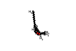 CCCCCC/C=C/CCCCCCCC(=O)O[C@H]1CC[C@@]2(C)C(=CC[C@H]3[C@@H]4CC[C@H]([C@H](C)CCCC(C)C)[C@@]4(C)CC[C@@H]32)C1